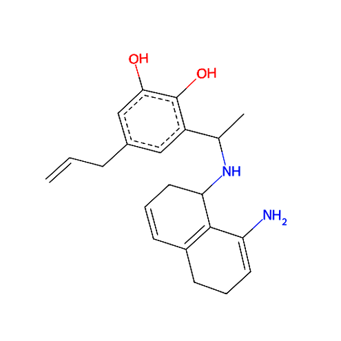 C=CCc1cc(O)c(O)c(C(C)NC2CC=CC3=C2C(N)=CCC3)c1